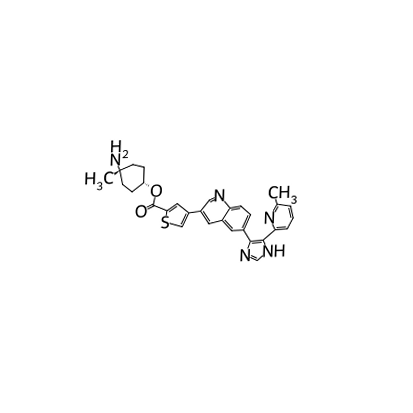 Cc1cccc(-c2[nH]cnc2-c2ccc3ncc(-c4csc(C(=O)O[C@H]5CC[C@@](C)(N)CC5)c4)cc3c2)n1